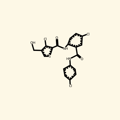 O=C(Nc1ccc(Cl)cc1)c1cc(Cl)ccc1NC(=O)c1scc(CO)c1Cl